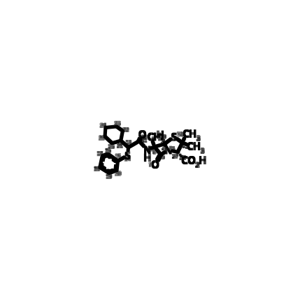 CC1(C)S[C@H]2N(C(=O)C2(C)NC(=O)C(Sc2ccccc2)C2CCCCC2)[C@H]1C(=O)O